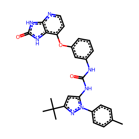 Cc1ccc(-n2nc(C(C)(C)C)cc2NC(=O)Nc2cccc(Oc3ccnc4[nH]c(=O)[nH]c34)c2)cc1